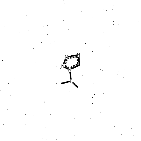 CP(C)n1cnnn1